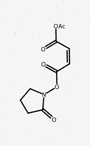 CC(=O)OC(=O)/C=C\C(=O)ON1CCCC1=O